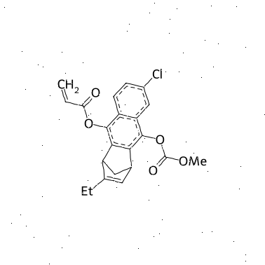 C=CC(=O)Oc1c2c(c(OC(=O)OC)c3cc(Cl)ccc13)C1C=C(CC)C2C1